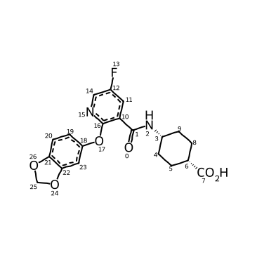 O=C(N[C@H]1CC[C@@H](C(=O)O)CC1)c1cc(F)cnc1Oc1ccc2c(c1)OCO2